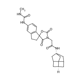 CNC(=O)Nc1ccc2c(c1)CCC21OC(=O)N(CC(=O)N[C@]23CC4C[C@@H]5CC(C2)C45C3)C1=O